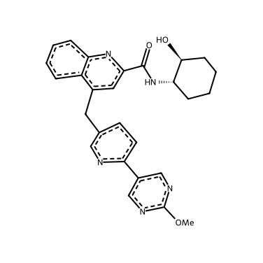 COc1ncc(-c2ccc(Cc3cc(C(=O)N[C@H]4CCCC[C@@H]4O)nc4ccccc34)cn2)cn1